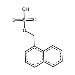 O=S(O)(=S)OCc1cccc2ccccc12